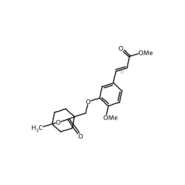 COC(=O)/C=C/c1ccc(OC)c(OCC23CCC(C)(CC2)OC3=O)c1